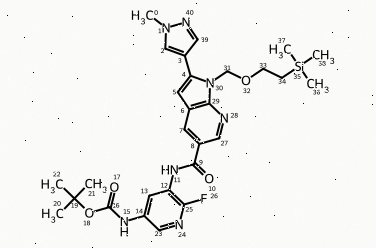 Cn1cc(-c2cc3cc(C(=O)Nc4cc(NC(=O)OC(C)(C)C)cnc4F)cnc3n2COCC[Si](C)(C)C)cn1